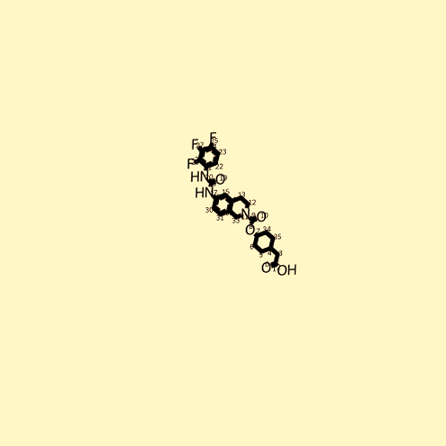 O=C(O)CC1CCC(OC(=O)N2CCc3cc(NC(=O)Nc4ccc(F)c(F)c4F)ccc3C2)CC1